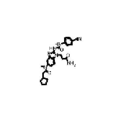 CN(C(=O)CC1CCCC1)c1ccc2c(c1)nc(NC(=O)Nc1ccc(C#N)cc1)n2CCC(N)=O